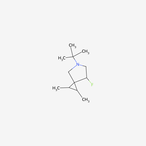 CC1C(C)C12CN(C(C)(C)C)CC2F